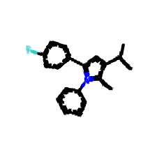 Cc1c(C(C)C)cc(-c2ccc(F)cc2)n1-c1ccccc1